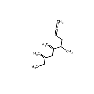 C=C=CCC(C)C(=C)CC(=C)CC